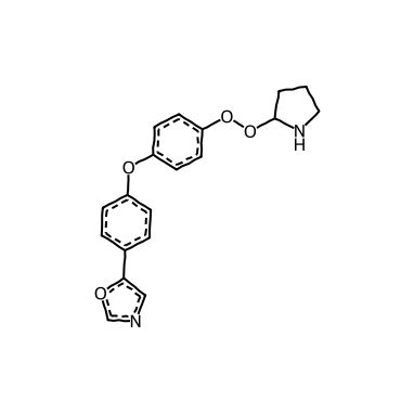 c1ncc(-c2ccc(Oc3ccc(OOC4CCCN4)cc3)cc2)o1